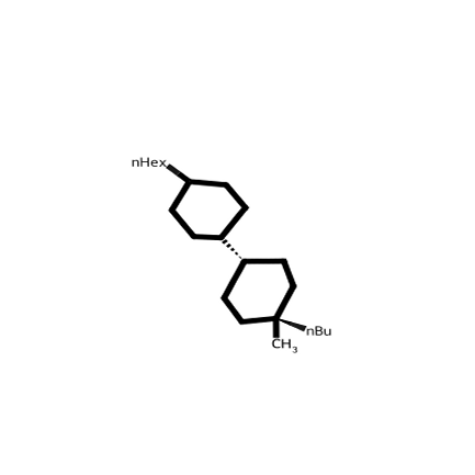 CCCCCCC1CCC([C@H]2CC[C@](C)(CCCC)CC2)CC1